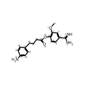 COc1cc(C(=N)N)ccc1OC(=O)CCCc1ccc(N)cc1